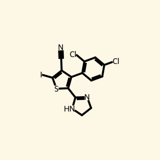 N#Cc1c(I)sc(C2=NCCN2)c1-c1ccc(Cl)cc1Cl